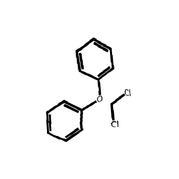 ClCCl.c1ccc(Oc2ccccc2)cc1